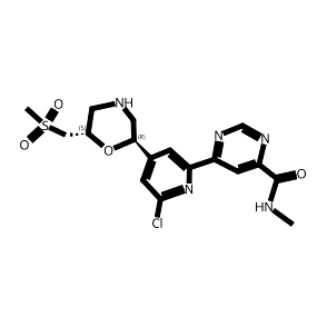 CNC(=O)c1cc(-c2cc([C@@H]3CNC[C@@H](CS(C)(=O)=O)O3)cc(Cl)n2)ncn1